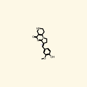 COc1cc(/C=C2\CCn3c2nc(=O)c2c3CCNC2)ccc1O